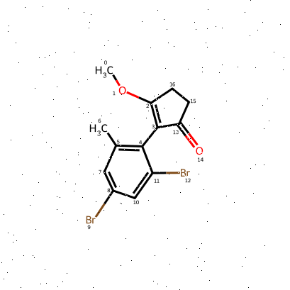 COC1=C(c2c(C)cc(Br)cc2Br)C(=O)CC1